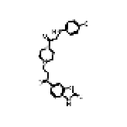 O=C(CCN1CCN(C(=O)CNc2ccc(Cl)cc2)CC1)c1ccc2[nH]c(=O)oc2c1